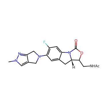 CC(=O)NCC1OC(=O)N2c3cc(F)c(N4Cc5cn(C)nc5C4)cc3C[C@@H]12